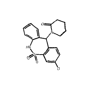 O=C1CCCCN1C1c2ccccc2NS(=O)(=O)c2cc(Cl)ccc21